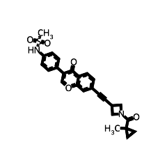 CC1(C(=O)N2CC(C#Cc3ccc4c(=O)c(-c5ccc(NS(C)(=O)=O)cc5)coc4c3)C2)CC1